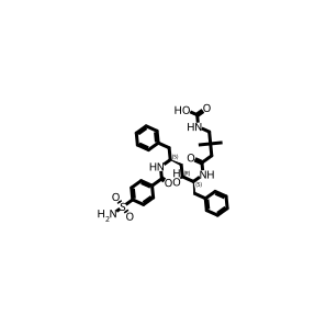 CC(C)(CNC(=O)O)CC(=O)N[C@@H](Cc1ccccc1)[C@H](O)C[C@H](Cc1ccccc1)NC(=O)c1ccc(S(N)(=O)=O)cc1